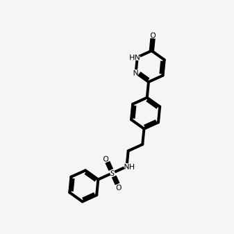 O=c1ccc(-c2ccc(CCNS(=O)(=O)c3ccccc3)cc2)n[nH]1